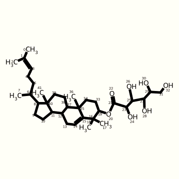 CC(C)=CCCC(C)C1CCC2C3CC=C4C(C)(C)C(OC(=O)C(O)C(O)C(O)C(O)CO)CCC4(C)C3CCC12C